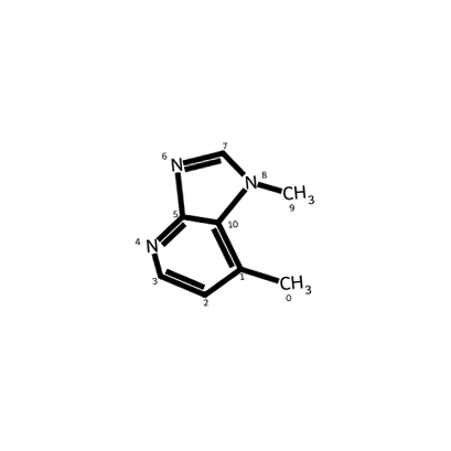 Cc1ccnc2ncn(C)c12